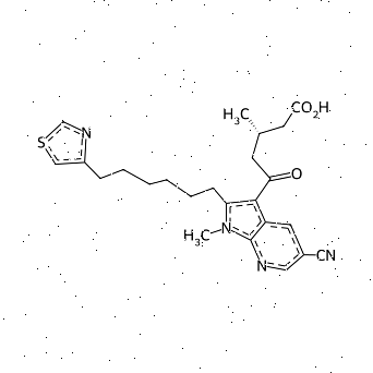 C[C@H](CC(=O)O)CC(=O)c1c(CCCCCCc2cscn2)n(C)c2ncc(C#N)cc12